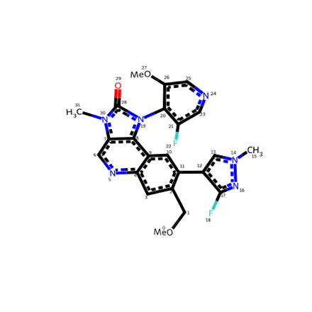 COCc1cc2ncc3c(c2cc1-c1cn(C)nc1F)n(-c1c(F)cncc1OC)c(=O)n3C